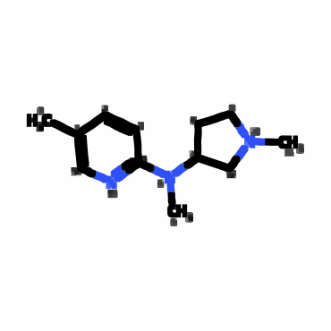 Cc1ccc(N(C)C2CCN(C)C2)nc1